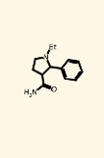 CCN1CCC(C(N)=O)C1c1ccccc1